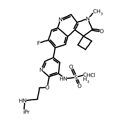 CC(C)NCCOc1ncc(-c2cc3c4c(cnc3cc2F)N(C)C(=O)C42CCC2)cc1NS(C)(=O)=O.Cl